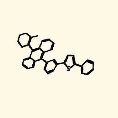 CC1=C(c2c3ccccc3c(-c3cccc(-c4ccc(-c5ccccc5)s4)c3)c3ccccc23)CCCC1